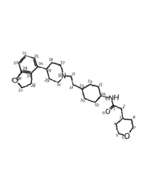 O=C(CC1CCOCC1)NC1CCC(CCN2CCC(c3cccc4c3CCO4)CC2)CC1